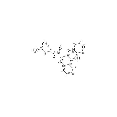 CN(C)CCNC(=O)c1nc2ccccc2c(O)c1CN1CCOCC1